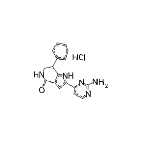 Cl.Nc1nccc(-c2cc3c([nH]2)C(c2ccccc2)CNC3=O)n1